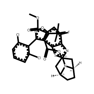 COC(=O)c1cc(F)c2nc(N3[C@@H]4CC[C@H]3C[C@@H](OC(=O)c3c(-c5c(Cl)cccc5Cl)noc3C(C)(C)C)C4)sc2c1